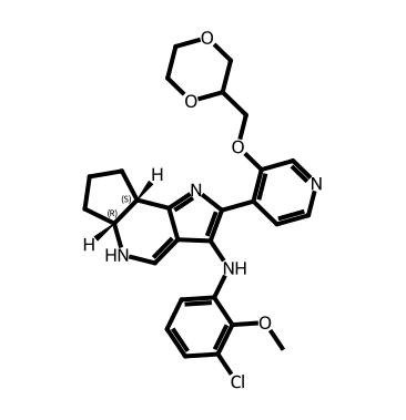 COc1c(Cl)cccc1NC1=C(c2ccncc2OCC2COCCO2)N=C2C1=CN[C@@H]1CCC[C@H]21